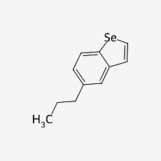 CCCc1ccc2[se]ccc2c1